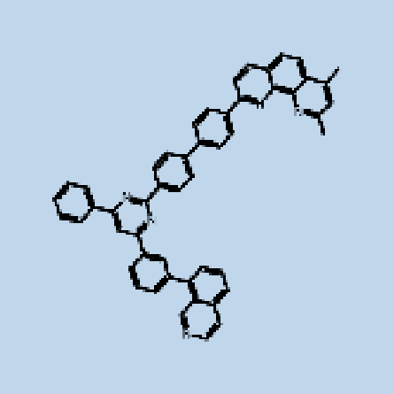 Cc1cc(C)c2ccc3ccc(-c4ccc(-c5ccc(-c6nc(-c7ccccc7)cc(-c7cccc(-c8cccc9ccncc89)c7)n6)cc5)cc4)nc3c2n1